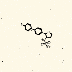 CC(C)S(=O)(=O)N[C@@H]1CCO[C@@H]1c1ccc(-c2ccc(F)cc2)cc1